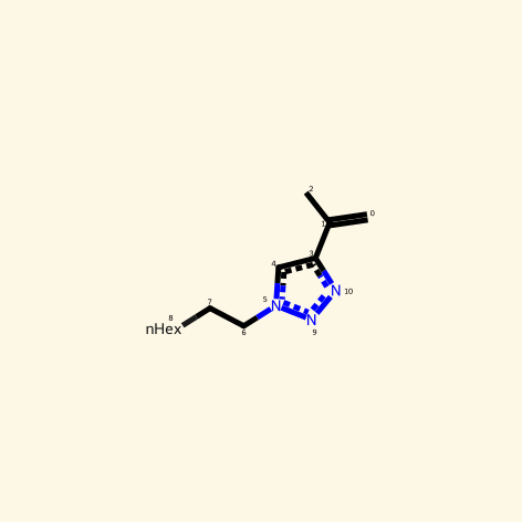 C=C(C)c1cn(CCCCCCCC)nn1